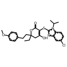 CCC1(CCc2ccc(OC)cc2)CC(O)=C(Sc2nc3cc(Cl)ccc3n2C(C)C)C(=O)O1